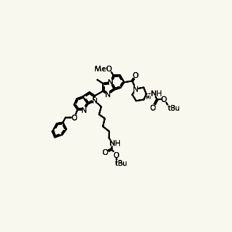 COc1cc(C(=O)N2CCC[C@@H](NC(=O)OC(C)(C)C)C2)cc2nc(-c3cc4ccc(OCc5ccccc5)nc4n3CCCCCCNC(=O)OC(C)(C)C)c(C)n12